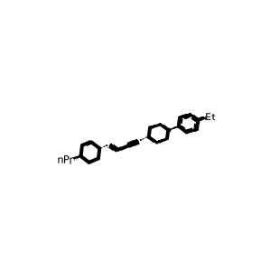 CCC[C@H]1CC[C@H](C=CC#C[C@H]2CC[C@H](c3ccc(CC)cc3)CC2)CC1